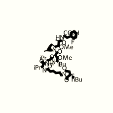 CCCCSC1CC(=O)N(CCCCCC(=O)N(C)C(C(=O)N[C@H](C(=O)N(C)[C@@H]([C@@H](C)CC)[C@@H](CC(=O)N2C3C(C[C@H]2[C@H](OC)[C@@H](C)C(=O)N[C@@H](Cc2ccccc2F)C(=O)O)[C@@H]3C)OC)C(C)C)C(C)C)C1=O